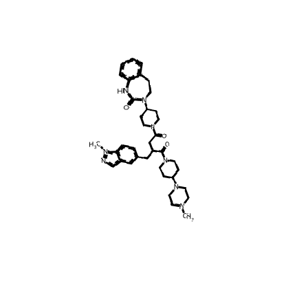 CN1CCN(C2CCN(C(=O)C(CC(=O)N3CCC(N4CCc5ccccc5NC4=O)CC3)Cc3ccc4c(cnn4C)c3)CC2)CC1